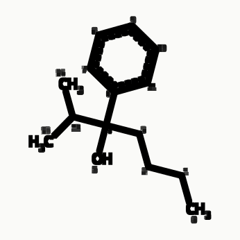 CCCCC(O)(c1ccccc1)C(C)C